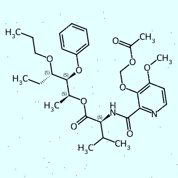 CCCO[C@@H](CC)[C@@H](Oc1ccccc1)[C@H](C)OC(=O)[C@@H](NC(=O)c1nccc(OC)c1OCOC(C)=O)C(C)C